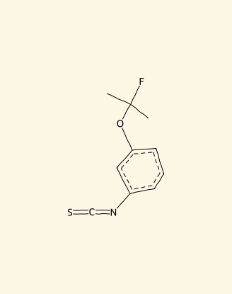 CC(C)(F)Oc1cccc(N=C=S)c1